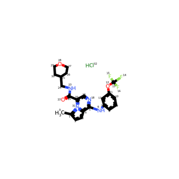 Cc1ccc2c(Nc3cccc(OC(F)(F)F)c3)ncc(C(=O)NCC3CCOCC3)n12.Cl